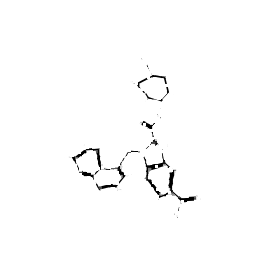 N=C(N)c1ccc2c(c1)nc(C(=O)N[C@H]1CC[C@H](N)CC1)n2Cc1cccc2ccccc12